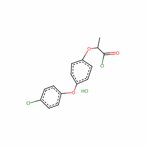 CC(Oc1ccc(Oc2ccc(Cl)cc2)cc1)C(=O)Cl.Cl